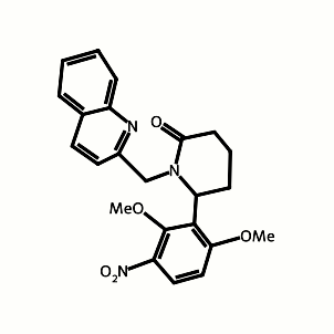 COc1ccc([N+](=O)[O-])c(OC)c1C1CCCC(=O)N1Cc1ccc2ccccc2n1